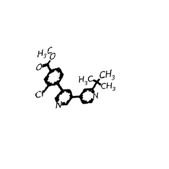 COC(=O)c1ccc(-c2cncc(-c3ccnc(C(C)(C)C)c3)c2)c(Cl)c1